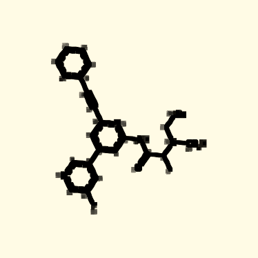 CC(C(=O)Nc1cc(-c2cncc(F)c2)cc(C#Cc2ccccc2)n1)N(CC(C)(C)C)C(=O)O